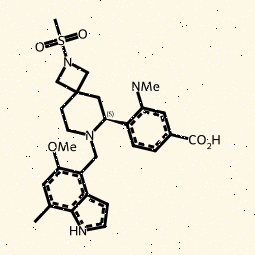 CNc1cc(C(=O)O)ccc1[C@@H]1CC2(CCN1Cc1c(OC)cc(C)c3[nH]ccc13)CN(S(C)(=O)=O)C2